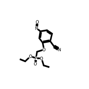 CCOP(=O)(COc1cc(N=O)ccc1C#N)OCC